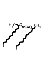 CCC(CCC=CCCCCCCI)OCOCOC(CC)CCC=CCCCCCCI